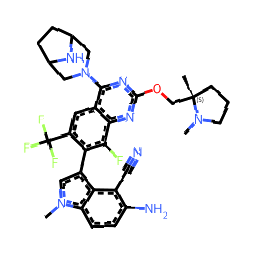 CN1CCC[C@@]1(C)COc1nc(N2CC3CCC(C2)N3)c2cc(C(F)(F)F)c(-c3cn(C)c4ccc(N)c(C#N)c34)c(F)c2n1